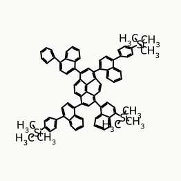 C[Si](C)(C)c1ccc(-c2ccc(-c3cc(-c4ccc(-c5ccccc5)c5ccccc45)c4ccc5c(-c6ccc(-c7ccc([Si](C)(C)C)cc7)c7ccccc67)cc(-c6ccc([Si](C)(C)C)c7ccccc67)c6ccc3c4c56)c3ccccc23)cc1